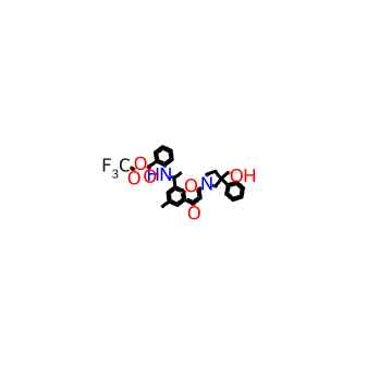 Cc1cc(C(C)Nc2ccccc2C(=O)OC(=O)C(F)(F)F)c2oc(N3CCC(CO)(c4ccccc4)C3)cc(=O)c2c1